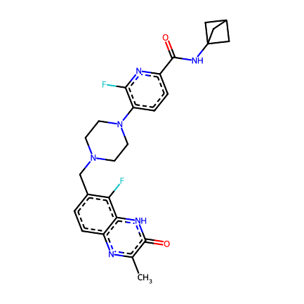 Cc1nc2ccc(CN3CCN(c4ccc(C(=O)NC56CC(C5)C6)nc4F)CC3)c(F)c2[nH]c1=O